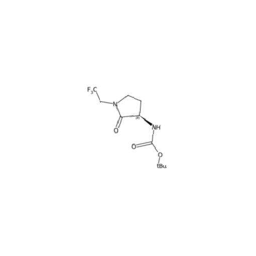 CC(C)(C)OC(=O)N[C@@H]1CCN(CC(F)(F)F)C1=O